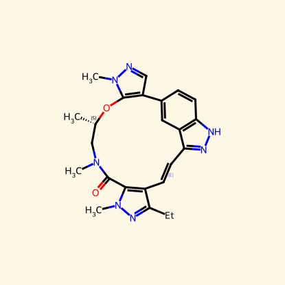 CCc1nn(C)c2c1/C=C/c1n[nH]c3ccc(cc13)-c1cnn(C)c1O[C@@H](C)CN(C)C2=O